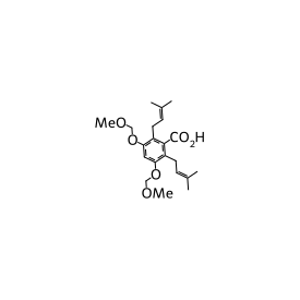 COCOc1cc(OCOC)c(CC=C(C)C)c(C(=O)O)c1CC=C(C)C